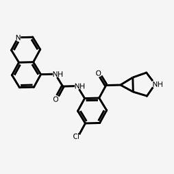 O=C(Nc1cc(Cl)ccc1C(=O)C1C2CNCC21)Nc1cccc2cnccc12